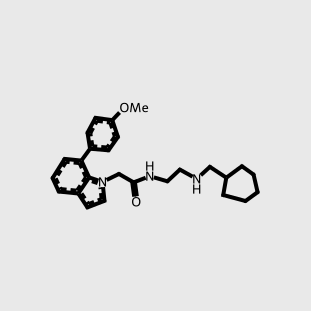 COc1ccc(-c2cccc3ccn(CC(=O)NCCNCC4CCCCC4)c23)cc1